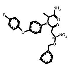 CC(C(N)=O)N(C(=O)C[C@H](OCc1ccccc1)[N+](=O)[O-])c1ccc(Oc2ccc(F)cc2)cc1